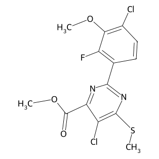 COC(=O)c1nc(-c2ccc(Cl)c(OC)c2F)nc(SC)c1Cl